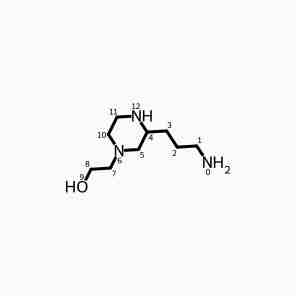 NCCCC1CN(CCO)CCN1